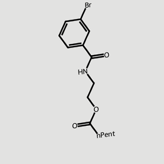 CCCCCC(=O)OCCNC(=O)c1cccc(Br)c1